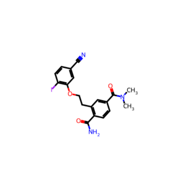 CN(C)C(=O)c1ccc(C(N)=O)c(CCOc2cc(C#N)ccc2I)c1